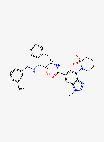 CCn1cnc2c(N3CCCCS3(=O)=O)cc(C(=O)N[C@@H](Cc3ccccc3)[C@H](O)CNCc3cccc(OC)c3)cc21